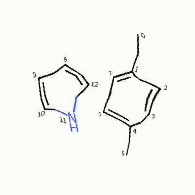 Cc1ccc(C)cc1.c1cc[nH]c1